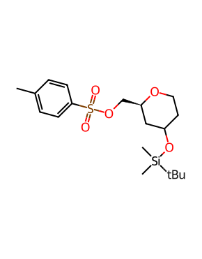 Cc1ccc(S(=O)(=O)OC[C@@H]2CC(O[Si](C)(C)C(C)(C)C)CCO2)cc1